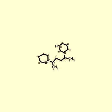 CC(CCC(C)[C@@H]1CCCCN1)[C@@H]1CCCNC1